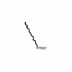 C=C/C=C/CCCCCCCCC[CH]CCCCCC